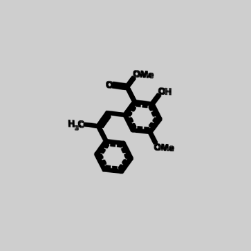 COC(=O)c1c(O)cc(OC)cc1C=C(C)c1ccccc1